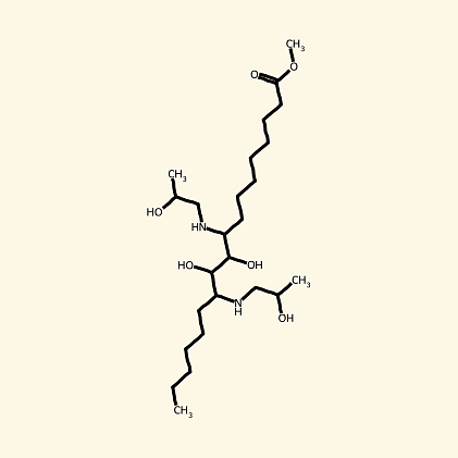 CCCCCCC(NCC(C)O)C(O)C(O)C(CCCCCCCC(=O)OC)NCC(C)O